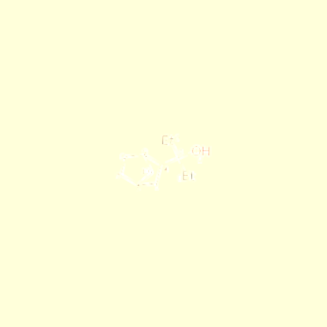 CCC(O)(CC)C1CC2CCC1C2